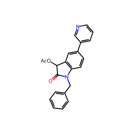 CC(=O)OC1C(=O)N(Cc2ccccc2)c2ccc(-c3cccnc3)cc21